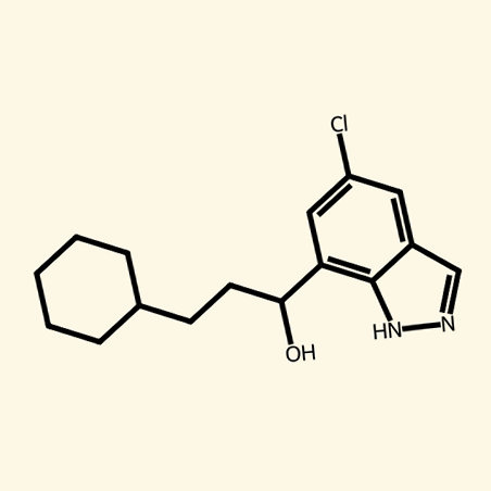 OC(CCC1CCCCC1)c1cc(Cl)cc2cn[nH]c12